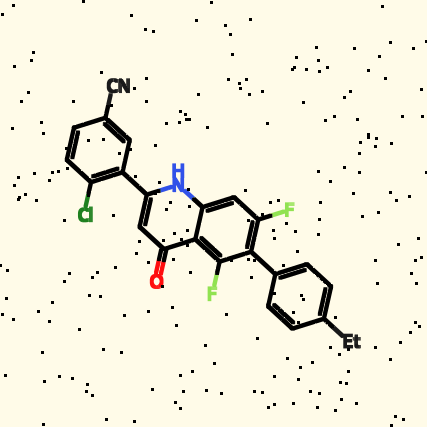 [CH2]Cc1ccc(-c2c(F)cc3[nH]c(-c4cc(C#N)ccc4Cl)cc(=O)c3c2F)cc1